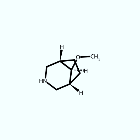 CO[C@H]1[C@@H]2CC[C@H]1CNC2